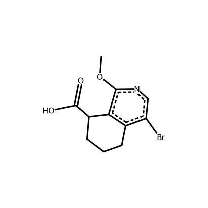 COc1ncc(Br)c2c1C(C(=O)O)CCC2